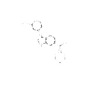 O=C(c1ccc2c(c1)ncn2-c1cccc(Cl)c1)N1CCC(F)(F)CC1